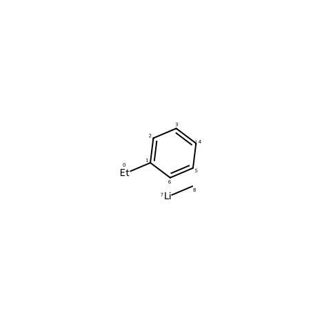 CCc1cc[c]cc1.[Li][CH3]